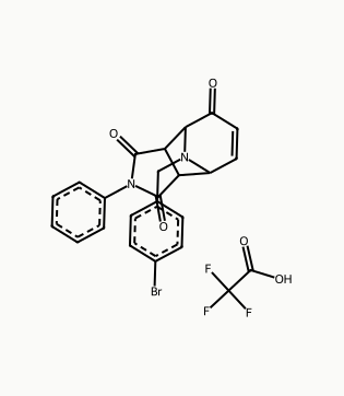 O=C(O)C(F)(F)F.O=C1C=CC2C3C(=O)N(c4ccccc4)C(=O)C3C1N2Cc1ccc(Br)cc1